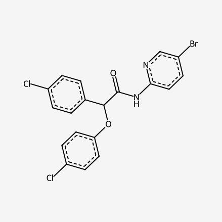 O=C(Nc1ccc(Br)cn1)C(Oc1ccc(Cl)cc1)c1ccc(Cl)cc1